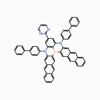 c1ccc(-c2ccc(N3c4cc5cc6ccccc6cc5cc4B4c5cc6cc7ccccc7cc6cc5N(c5ccc(-c6ccccc6)cc5)c5cc(-c6ncccn6)cc3c54)cc2)cc1